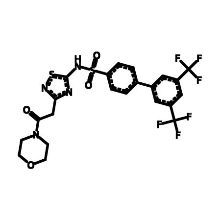 O=C(Cc1nsc(NS(=O)(=O)c2ccc(-c3cc(C(F)(F)F)cc(C(F)(F)F)c3)cc2)n1)N1CCOCC1